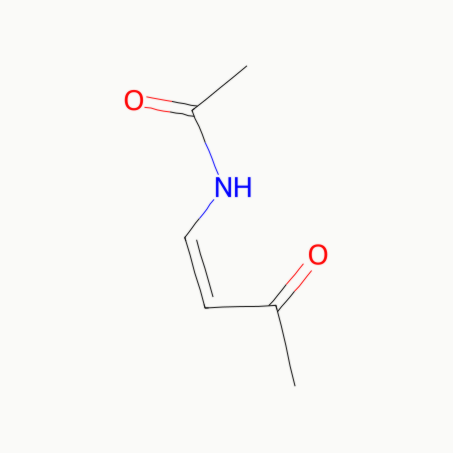 CC(=O)/C=C\NC(C)=O